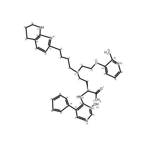 CC(=O)[C@H](CCN(CCCCc1ccc2c(n1)NCCC2)CCOc1cccnc1C)Nc1c(-c2ccccc2)cnc[n+]1O